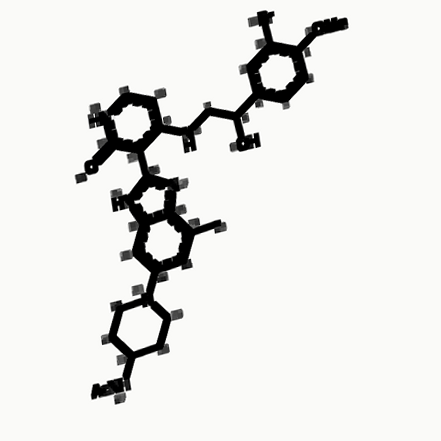 COc1ccc(C(O)CNc2cc[nH]c(=O)c2-c2nc3c(C)cc(N4CCC(NC(C)=O)CC4)cc3[nH]2)cc1Br